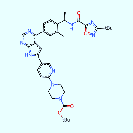 Cc1cc(-c2ncnc3[nH]c(-c4ccc(N5CCN(C(=O)OC(C)(C)C)CC5)nc4)cc23)ccc1[C@@H](C)NC(=O)c1nc(C(C)(C)C)no1